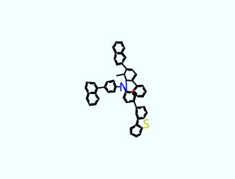 CC1C(c2ccc3ccccc3c2)=CC=C(c2ccccc2)C1N(c1ccc(-c2ccc3sc4ccccc4c3c2)cc1)c1ccc(-c2cccc3ccccc23)cc1